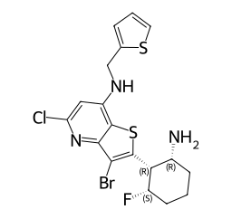 N[C@@H]1CCC[C@H](F)[C@@H]1c1sc2c(NCc3cccs3)cc(Cl)nc2c1Br